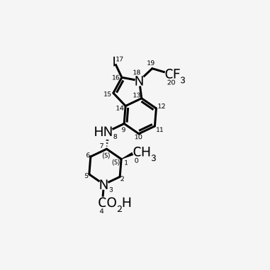 C[C@H]1CN(C(=O)O)CC[C@@H]1Nc1cccc2c1cc(I)n2CC(F)(F)F